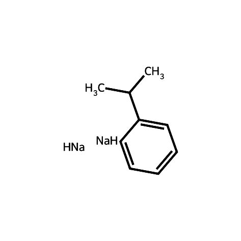 CC(C)c1ccccc1.[NaH].[NaH]